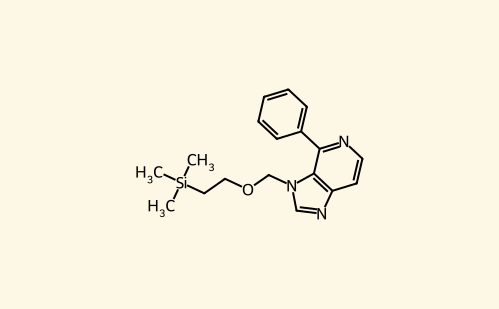 C[Si](C)(C)CCOCn1cnc2ccnc(-c3ccccc3)c21